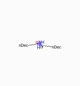 CCCCCCCCCCCCCCCCCC(=O)NC(=N)CN1CCC=C1CCCCCCCCCCCCCCCCC